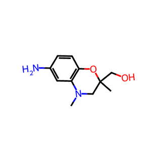 CN1CC(C)(CO)Oc2ccc(N)cc21